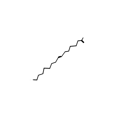 O=C(O)CCCCC/C=C/CCCCCCCO